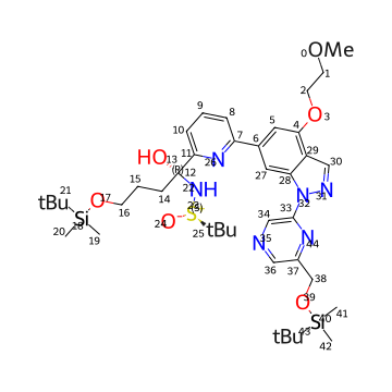 COCCOc1cc(-c2cccc([C@](O)(CCCO[Si](C)(C)C(C)(C)C)N[S@+]([O-])C(C)(C)C)n2)cc2c1cnn2-c1cncc(CO[Si](C)(C)C(C)(C)C)n1